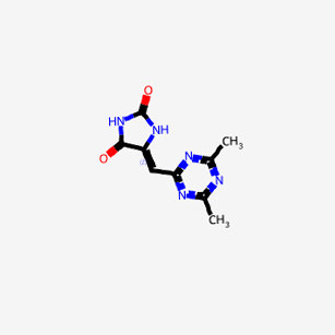 Cc1nc(C)nc(/C=C2\NC(=O)NC2=O)n1